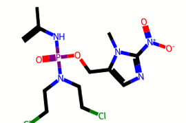 C=C(C)NP(=O)(OCc1cnc([N+](=O)[O-])n1C)N(CCCl)CCCl